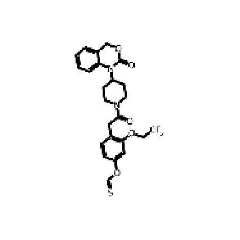 O=C(Cc1ccc(OC=S)cc1OCC(F)(F)F)N1CCC(N2C(=O)OCc3ccccc32)CC1